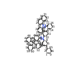 c1ccc(-c2ccc(N(c3ccc(-c4ccccc4-n4c5ccccc5c5ccc6ccccc6c54)cc3)c3cccc(C(c4ccccc4)(c4ccccc4)c4ccccc4)c3)cc2)cc1